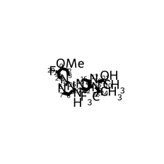 COC1CCN(c2nccc(Nc3cc4c(cn3)nc([C@H](C)O)n4[C@@H](C)C(F)(F)F)n2)CC1F